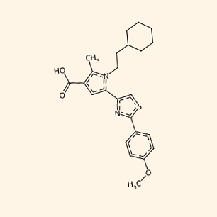 COc1ccc(-c2nc(-c3cc(C(=O)O)c(C)n3CCC3CCCCC3)cs2)cc1